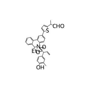 C=CC(c1ccc(O)c(C)c1)S(=O)(=O)N1c2ccc(-c3ccc(C(C)C=O)s3)cc2-c2ccccc2C1CC